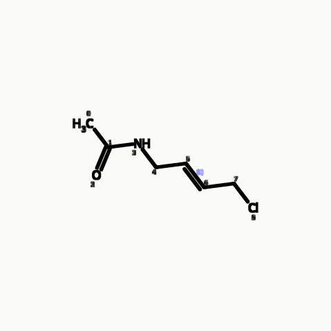 CC(=O)NC/C=C/CCl